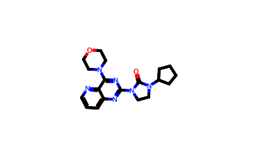 O=C1N(c2nc(N3CCOCC3)c3ncccc3n2)CCN1C1CCCC1